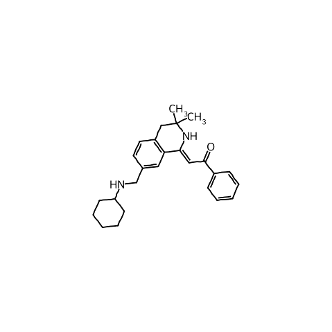 CC1(C)Cc2ccc(CNC3CCCCC3)cc2/C(=C/C(=O)c2ccccc2)N1